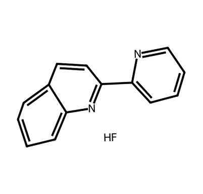 F.c1ccc(-c2ccc3ccccc3n2)nc1